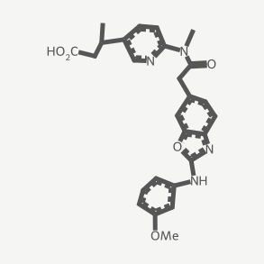 COc1cccc(Nc2nc3ccc(CC(=O)N(C)c4ccc(C(C)CC(=O)O)cn4)cc3o2)c1